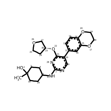 CC1(O)CCC(Nc2ncc(-c3ccc4c(c3)OCCO4)c(O[C@@H]3CCOC3)n2)CC1